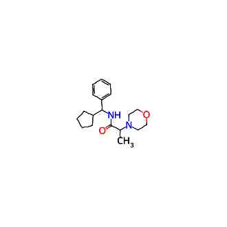 CC(C(=O)NC(c1ccccc1)C1CCCC1)N1CCOCC1